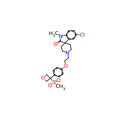 CN1C(=O)C2(CCN(CCOc3ccc(C4(S(C)(=O)=O)COC4)cc3)CC2)c2cc(Cl)ccc21